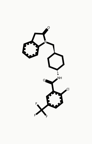 O=C(N[C@H]1CC[C@H](CN2C(=O)Cc3ccccc32)CC1)c1cc(C(F)(F)F)ccc1Cl